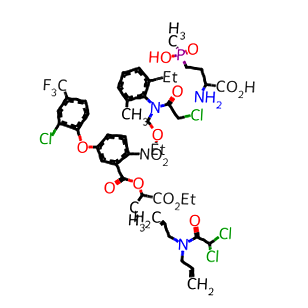 C=CCN(CC=C)C(=O)C(Cl)Cl.CCOC(=O)C(C)OC(=O)c1cc(Oc2ccc(C(F)(F)F)cc2Cl)ccc1[N+](=O)[O-].CCOCN(C(=O)CCl)c1c(C)cccc1CC.CP(=O)(O)CCC(N)C(=O)O